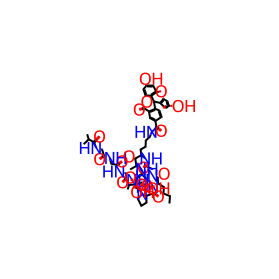 CCCCC(NC(=O)C1CCCN1C(=O)CNC(=O)CNC(=O)CNC(=O)CNC(=O)C(C)C)C(=O)NCC(=O)NC(CCCCNC(=O)c1ccc2c(c1)C(=O)OC21c2ccc(O)cc2Oc2cc(O)ccc21)C(=O)C(C)NC(CC(=O)O)C(=O)C(C)(O)CC